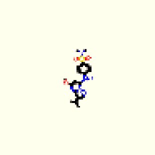 COc1cc(Nc2ccc(S(=O)(=O)N(C)C)cc2)n2ncc(C(C)C)c2n1